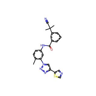 Cc1ccc(NC(=O)c2cccc(C(C)(C)C#N)c2)cc1-n1cc(-c2cncs2)nn1